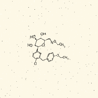 CCON=C[C@H]1O[C@@H](c2ccc(Cl)c(Cc3ccc(OCC)cc3)c2)[C@H](O)[C@@H](O)[C@@H]1O